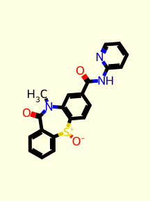 CN1C(=O)c2ccccc2[S+]([O-])c2ccc(C(=O)Nc3ccccn3)cc21